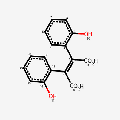 O=C(O)/C(=C(\C(=O)O)c1ccccc1O)c1ccccc1O